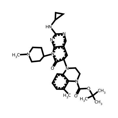 Cc1cccc2c1N(C(=O)OC(C)(C)C)CCN2c1cc2cnc(NC3CC3)nc2n(C2CCN(C)CC2)c1=O